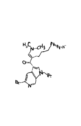 CC(C)n1cc(C(=O)/C(=C/N(C)C)CCCN=[N+]=[N-])c2cc(Br)ncc21